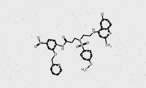 COc1ccc(S(=O)(=O)N(CCNc2cc(C)nc3ccc(Cl)cc23)CCC(=O)Nc2ccc([N+](=O)[O-])cc2OCc2ccccn2)cc1